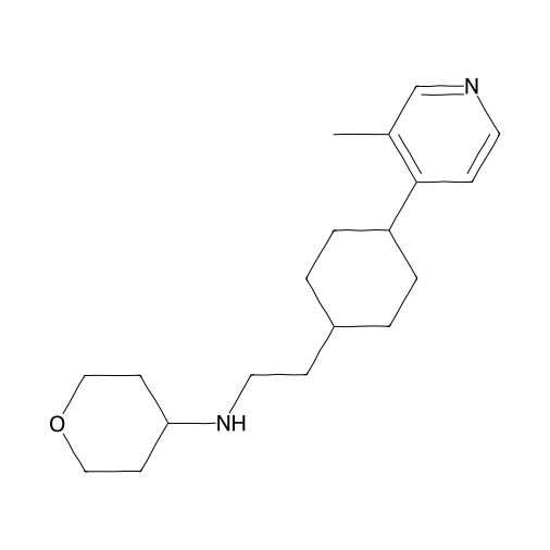 Cc1cnccc1C1CCC(CCNC2CCOCC2)CC1